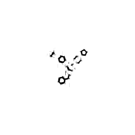 FC(F)(F)c1ccc(Nc2nc(N3CCN(C4CCCC4)CC3)nc3sc(Cc4c(Cl)cccc4Cl)nc23)cc1.O=C(O)C(F)(F)F